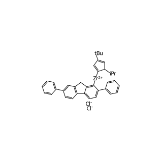 CC(C)C1C=C(C(C)(C)C)C=[C]1[Zr+2][c]1c(-c2ccccc2)ccc2c1Cc1cc(-c3ccccc3)ccc1-2.[Cl-].[Cl-]